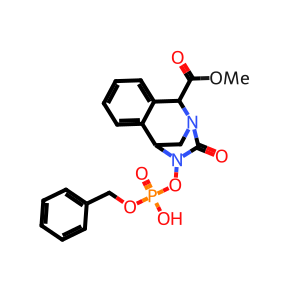 COC(=O)C1c2ccccc2C2CN1C(=O)N2OP(=O)(O)OCc1ccccc1